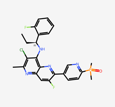 CC[C@H](Nc1c(Cl)c(C)nc2cc(F)c(-c3ccc(P(C)(C)=O)nc3)nc12)c1ccccc1F